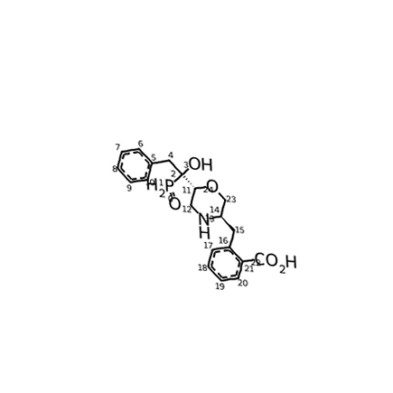 O=[PH2]C(O)(Cc1ccccc1)[C@H]1CN[C@H](Cc2ccccc2C(=O)O)CO1